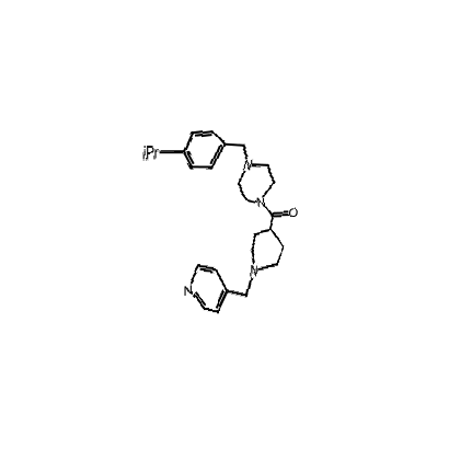 CC(C)c1ccc(CN2CCN(C(=O)C3CCN(Cc4ccncc4)CC3)CC2)cc1